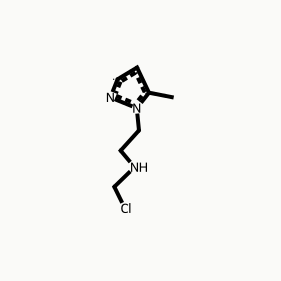 Cc1c[c]nn1CCNCCl